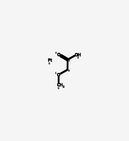 COCC(=O)O.[Pt]